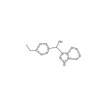 CCc1ccc(C(O)c2c[nH]c3ccccc23)cc1